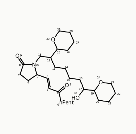 CCCCCC(=O)C=CC1CCC(=O)N1CC(CCCCC(O)C1CCCCO1)C1CCCCO1